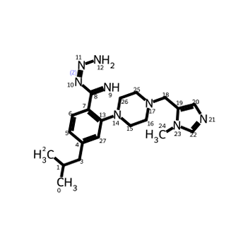 CC(C)Cc1ccc(C(=N)/N=N\N)c(N2CCN(Cc3cncn3C)CC2)c1